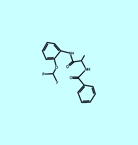 CC(NC(=O)c1ccccc1)C(=O)Nc1ccccc1OC(F)F